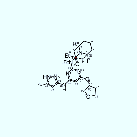 CCC(=O)N1[C@@H]2CCC[C@H]1CC(N(C)c1nc(Nc3cc(C)[nH]n3)cc(O[C@@H]3CCOC3)n1)C2